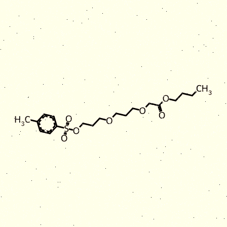 CCCCOC(=O)COCCCOCCCOS(=O)(=O)c1ccc(C)cc1